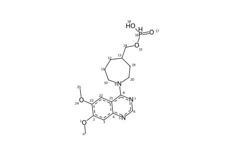 COc1cc2ncnc(N3CCCC(CO[PH](=O)O)CC3)c2cc1OC